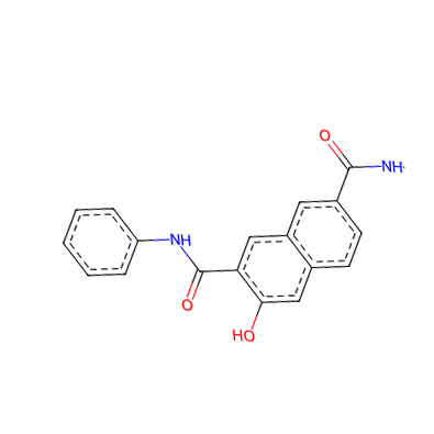 [NH]C(=O)c1ccc2cc(O)c(C(=O)Nc3ccccc3)cc2c1